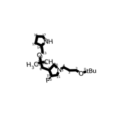 CC(C)(C)OCCCN1CC(CC(C)(C)OCC2CCCN2)[C@H](F)C1